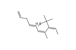 BC(C)(C)C(=C/C)/C(C)=C\C=C\CC=C